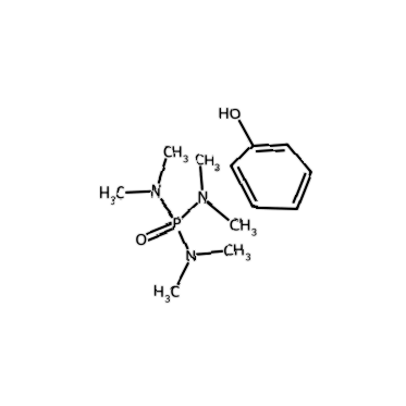 CN(C)P(=O)(N(C)C)N(C)C.Oc1ccccc1